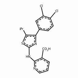 CC(C)c1sc(Nc2ncccc2C(=O)O)nc1-c1ccc(Cl)c(Cl)c1